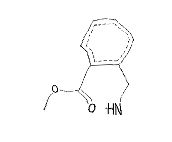 COC(=O)c1ccccc1C[NH]